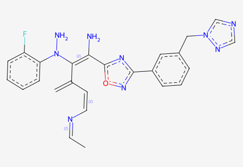 C=C(/C=C\N=C/C)/C(=C(/N)c1nc(-c2cccc(Cn3cncn3)c2)no1)N(N)c1ccccc1F